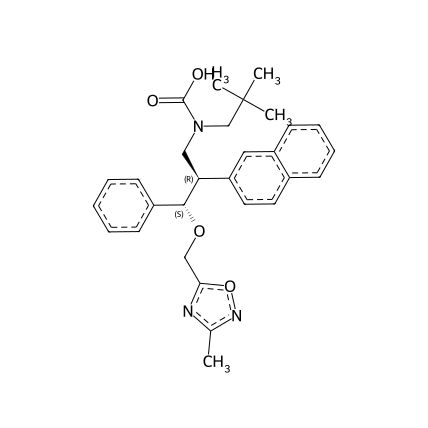 Cc1noc(CO[C@H](c2ccccc2)[C@@H](CN(CC(C)(C)C)C(=O)O)c2ccc3ccccc3c2)n1